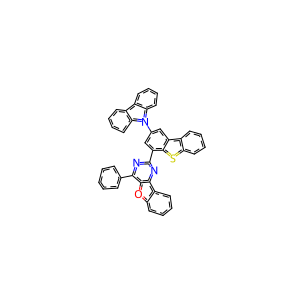 c1ccc(-c2nc(-c3cc(-n4c5ccccc5c5ccccc54)cc4c3sc3ccccc34)nc3c2oc2ccccc23)cc1